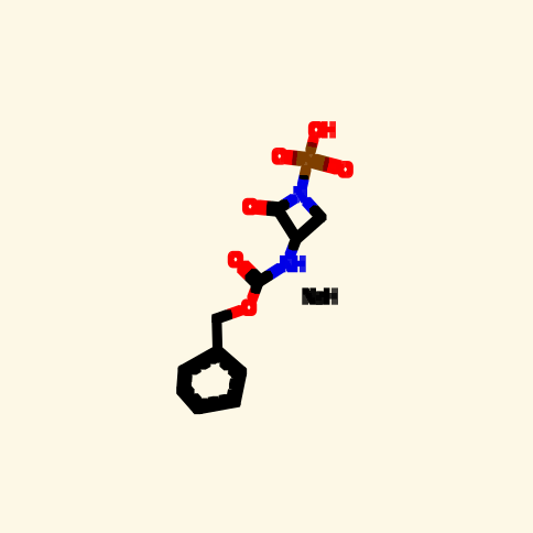 O=C(NC1CN(S(=O)(=O)O)C1=O)OCc1ccccc1.[NaH]